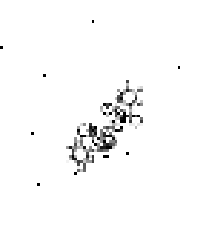 O=C1c2ccccc2C(=O)N1OCC1OC(F)N(c2ccccc2)N1Cl